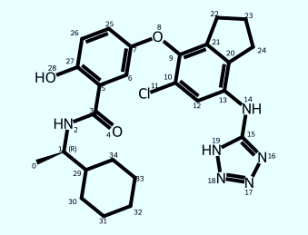 C[C@@H](NC(=O)c1cc(Oc2c(Cl)cc(Nc3nnn[nH]3)c3c2CCC3)ccc1O)C1CCCCC1